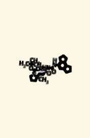 CC(C)(C)OC(=O)N1CCC[C@]1(C)/C=C/S(=O)(=O)NC(=O)Nc1cc2c(c3c1CCC3)CCC2